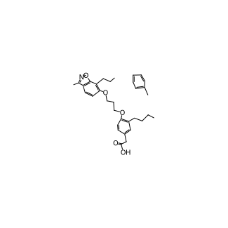 CCCCc1cc(CC(=O)O)ccc1OCCCOc1ccc2c(C)noc2c1CCC.Cc1ccccc1